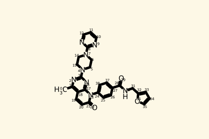 Cc1nc(N2CCN(c3ncccn3)CC2)nc2c1ccc(=O)n2-c1ccc(C(=O)NCc2ccco2)cc1